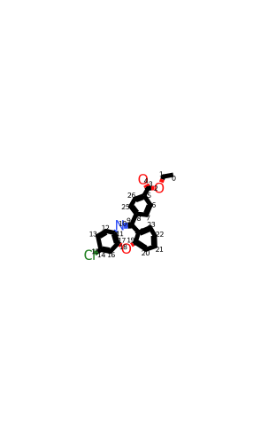 CCOC(=O)c1ccc(C2=Nc3ccc(Cl)cc3Oc3ccccc32)cc1